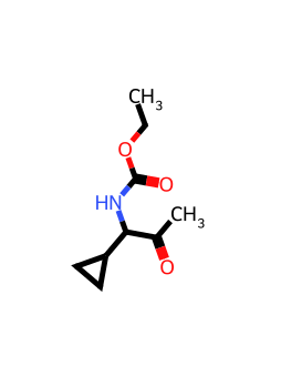 CCOC(=O)NC(C(C)=O)C1CC1